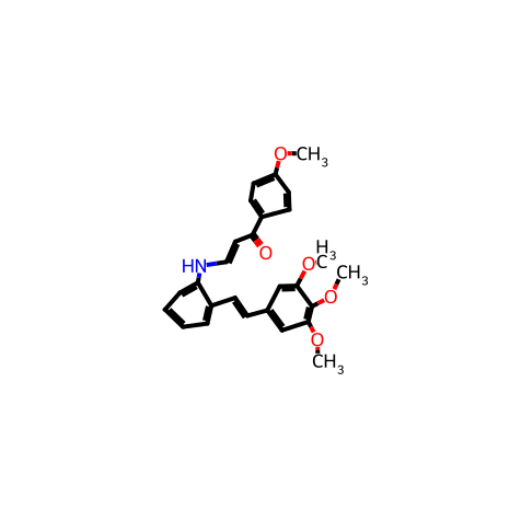 COc1ccc(C(=O)C=CNc2ccccc2C=Cc2cc(OC)c(OC)c(OC)c2)cc1